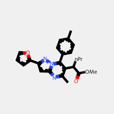 CCCC(C(=O)OC)c1c(C)nc2cc(-c3ccco3)nn2c1-c1ccc(C)cc1